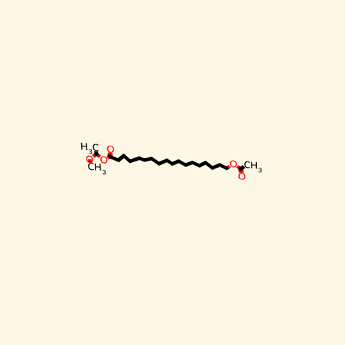 COC(C)OC(=O)CCCCCCCCCCCCCCCCCOC(C)=O